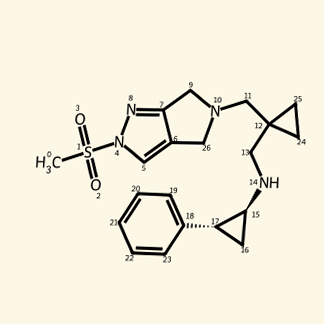 CS(=O)(=O)n1cc2c(n1)CN(CC1(CN[C@H]3C[C@@H]3c3ccccc3)CC1)C2